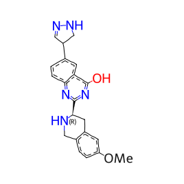 COc1ccc2c(c1)C[C@H](c1nc(O)c3cc(C4C=NNC4)ccc3n1)NC2